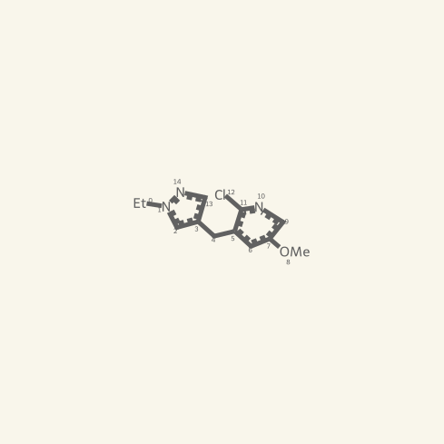 CCn1cc(Cc2cc(OC)cnc2Cl)cn1